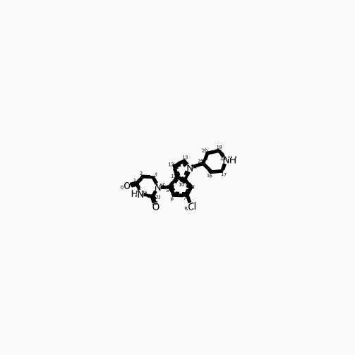 O=C1CCN(c2cc(Cl)cc3c2ccn3C2CCNCC2)C(=O)N1